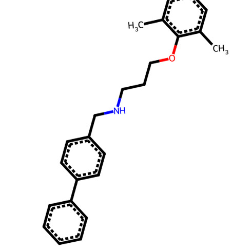 Cc1cccc(C)c1OCCCNCc1ccc(-c2ccccc2)cc1